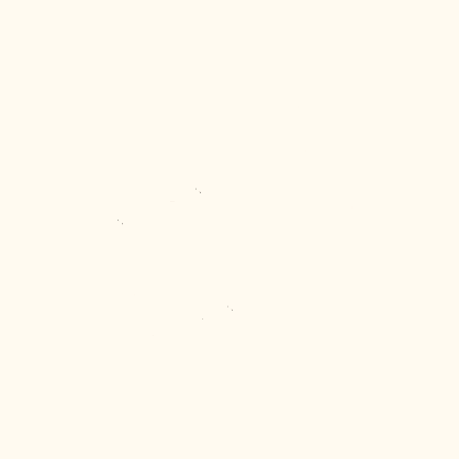 CNCc1ccc(C(=O)N2CCCC(C(O)(CCCNC(=O)O)c3cccc(Cl)c3-c3ccc4c(c3)OCC4)C2)c(F)c1